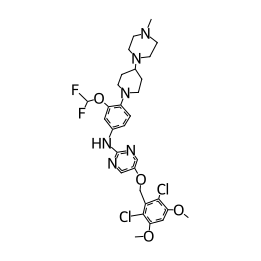 COc1cc(OC)c(Cl)c(COc2cnc(Nc3ccc(N4CCC(N5CCN(C)CC5)CC4)c(OC(F)F)c3)nc2)c1Cl